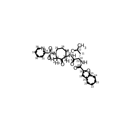 [2H]C1([2H])C(=O)[C@]([2H])(NC(=O)[C@H](CC(C)C)NC(=O)c2cc3ccccc3o2)CCCN1S(=O)(=O)c1ccccn1